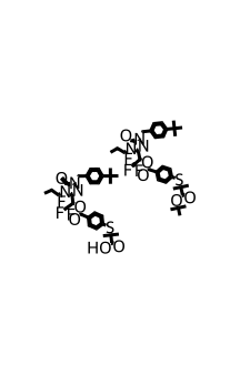 CCCn1c(C(OC(=O)c2ccc(SC(C)(C)C(=O)O)cc2)C(F)(F)F)nn(Cc2ccc(C(C)(C)C)cc2)c1=O.CCCn1c(C(OC(=O)c2ccc(SC(C)(C)C(=O)OC(C)(C)C)cc2)C(F)(F)F)nn(Cc2ccc(C(C)(C)C)cc2)c1=O